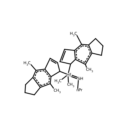 CCC[SiH]=[Hf]([CH3])([CH3])([CH]1C=Cc2c(C)c3c(c(C)c21)CCC3)[CH]1C=Cc2c(C)c3c(c(C)c21)CCC3